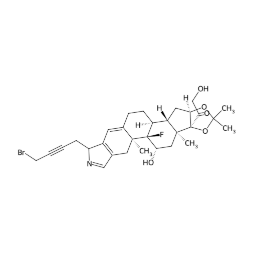 CC1(C)O[C@@H]2C[C@H]3[C@@H]4CCC5=CC6=C(C=NC6CC#CCBr)C[C@]5(C)[C@@]4(F)[C@@H](O)C[C@]3(C)[C@]2(C(=O)CO)O1